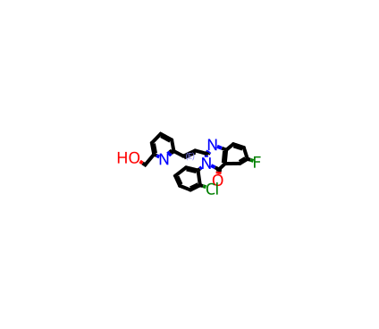 O=c1c2cc(F)ccc2nc(/C=C/c2cccc(CO)n2)n1-c1ccccc1Cl